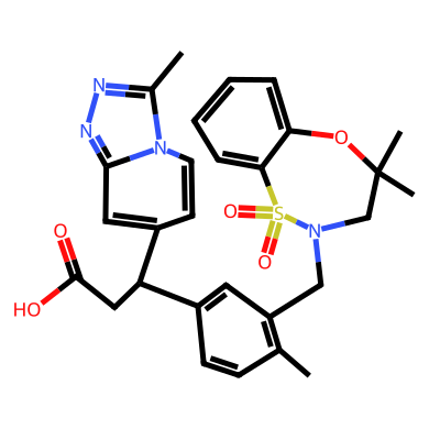 Cc1ccc(C(CC(=O)O)c2ccn3c(C)nnc3c2)cc1CN1CC(C)(C)Oc2ccccc2S1(=O)=O